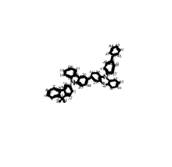 CC1(C)c2ccccc2-c2cc(-n3c4ccccc4c4cc(-c5ccc6c(c5)Sc5ccccc5N6c5ccc(-c6ccccc6)cc5)ccc43)ccc21